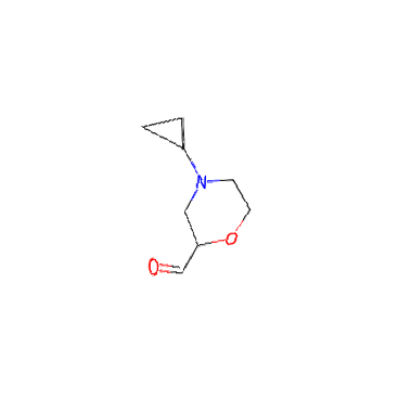 O=CC1CN(C2CC2)CCO1